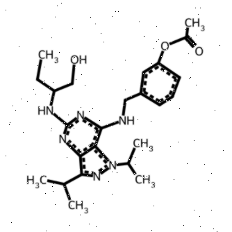 CCC(CO)Nc1nc(NCc2cccc(OC(C)=O)c2)c2c(n1)c(C(C)C)nn2C(C)C